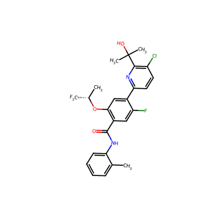 Cc1ccccc1NC(=O)c1cc(F)c(-c2ccc(Cl)c(C(C)(C)O)n2)cc1O[C@@H](C)C(F)(F)F